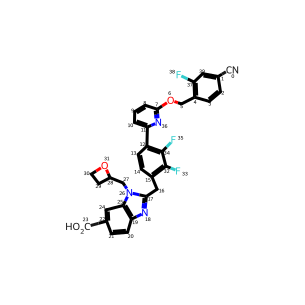 N#Cc1ccc(COc2cccc(-c3ccc(Cc4nc5ccc(C(=O)O)cc5n4CC4CCO4)c(F)c3F)n2)c(F)c1